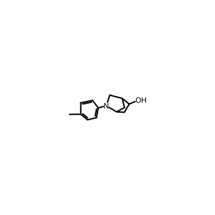 Cc1ccc(N2CC3CC2CC3O)cc1